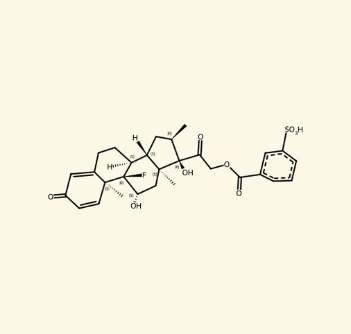 C[C@@H]1C[C@H]2[C@@H]3CCC4=CC(=O)C=C[C@]4(C)[C@@]3(F)[C@@H](O)C[C@]2(C)[C@@]1(O)C(=O)COC(=O)c1cccc(S(=O)(=O)O)c1